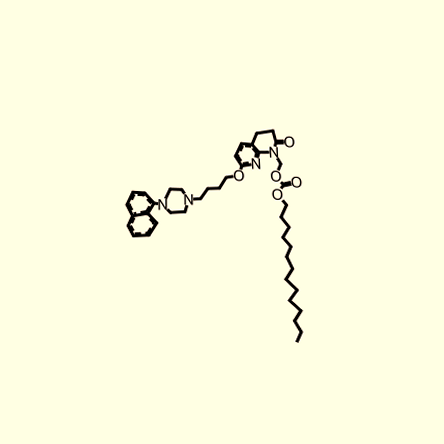 CCCCCCCCCCCCCCOC(=O)OCN1C(=O)CCc2ccc(OCCCCN3CCN(c4cccc5ccccc45)CC3)nc21